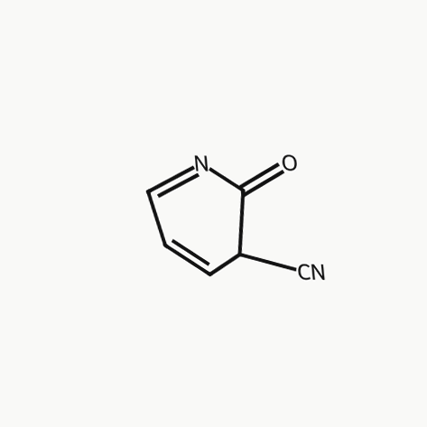 N#CC1C=CC=NC1=O